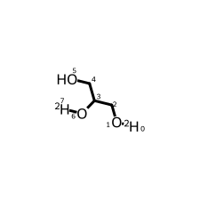 [2H]OCC(CO)O[2H]